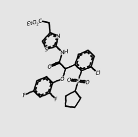 CCOC(=O)Cc1csc(NC(=O)C(Oc2ccc(F)cc2F)c2cccc(Cl)c2S(=O)(=O)C2CCCC2)n1